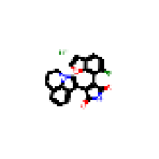 Cl.O=C1NC(=O)C(c2c(F)ccc3ccoc23)=C1c1cn2c3c(cccc13)CCC2